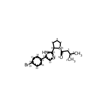 CC(C)[CH]C(=O)N1CCCC1c1ncc(-c2ccc(Br)cc2)[nH]1